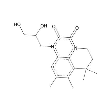 Cc1cc2c3c(c1C)C(C)(C)CCn3c(=O)c(=O)n2CC(O)CO